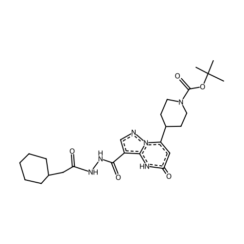 CC(C)(C)OC(=O)N1CCC(c2cc(=O)[nH]c3c(C(=O)NNC(=O)CC4CCCCC4)cnn23)CC1